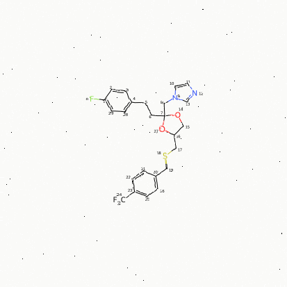 Fc1ccc(CCC2(Cn3ccnc3)OCC(CSCc3ccc(C(F)(F)F)cc3)O2)cc1